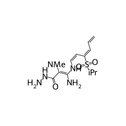 C=C/C=C(\C=C/N/C(N)=C(\NC)C(=O)NN)S(=O)(=O)C(C)C